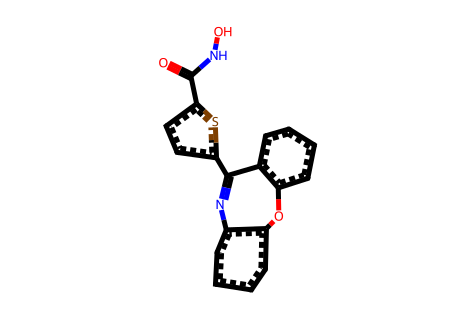 O=C(NO)c1ccc(C2=Nc3ccccc3Oc3ccccc32)s1